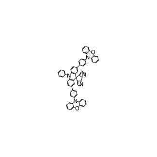 c1ccc(N2c3ccc(-c4ccc(N5c6ccccc6Oc6ccccc65)cc4)cc3C3(c4cc(-c5ccc(N6c7ccccc7Oc7ccccc76)cc5)ccc42)c2cccnc2-c2ncccc23)cc1